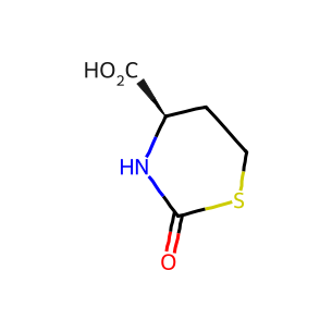 O=C1N[C@@H](C(=O)O)CCS1